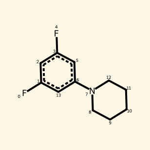 Fc1cc(F)cc(N2CCCCC2)c1